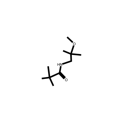 COC(C)(C)CNC(=O)C(C)(C)C